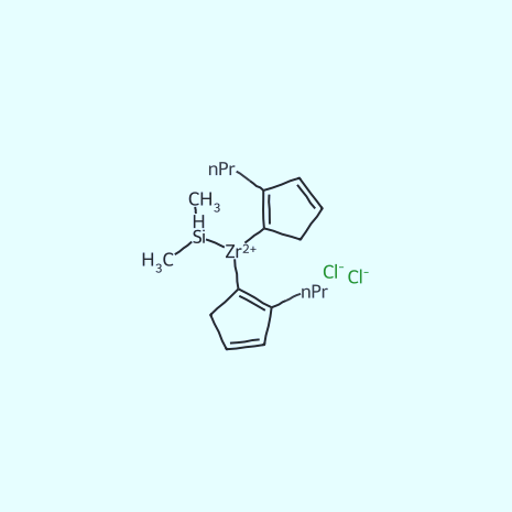 CCCC1=[C]([Zr+2]([C]2=C(CCC)C=CC2)[SiH](C)C)CC=C1.[Cl-].[Cl-]